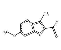 COc1ccc2c(C)c(C(=O)Cl)oc2c1